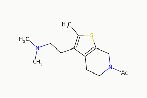 CC(=O)N1CCc2c(sc(C)c2CCN(C)C)C1